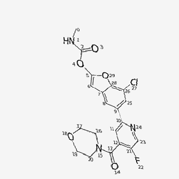 CNC(=O)Oc1cc2cc(-c3cc(C(=O)N4CCOCC4)c(F)cn3)cc(Cl)c2o1